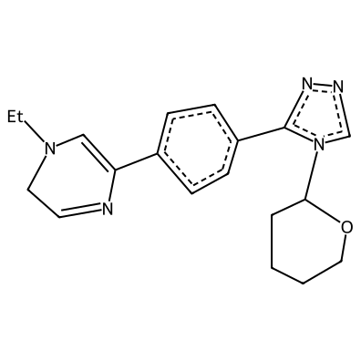 CCN1C=C(c2ccc(-c3nncn3C3CCCCO3)cc2)N=CC1